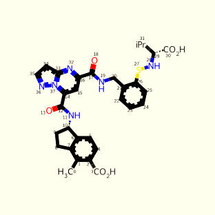 Cc1c(C(=O)O)ccc2c1CC[C@@H]2NC(=O)c1cc(C(=O)NCc2ccccc2SN[C@@H](C(=O)O)C(C)C)nc2ccnn12